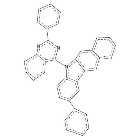 c1ccc(-c2ccc3c(c2)c2cc4ccccc4cc2n3-c2nc(-c3ccccc3)nc3ccccc23)cc1